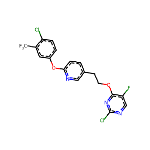 Fc1cnc(Cl)nc1OCCc1ccc(Oc2ccc(Cl)c(C(F)(F)F)c2)nc1